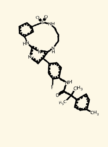 Cc1ccc(C(C)(C)C(=O)Nc2ccc(-c3cnc4nc3NCCCNS(=O)(=O)c3cccc(c3)N4)cc2F)cc1